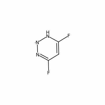 FC1=CC(F)=N[N]N1